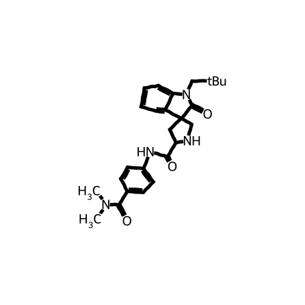 CN(C)C(=O)c1ccc(NC(=O)C2CC3(CN2)C(=O)N(CC(C)(C)C)c2ccccc23)cc1